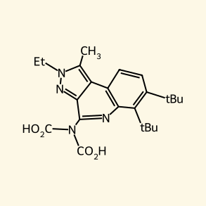 CCn1nc2c(N(C(=O)O)C(=O)O)nc3c(C(C)(C)C)c(C(C)(C)C)ccc3c2c1C